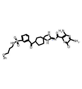 CC(C)OCCCNS(=O)(=O)c1cccc(C(=O)C2CCC3(CC2)CN/C(=N\C(=O)c2nc(Cl)c(N)nc2N)N3)c1